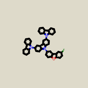 Fc1ccc2oc3ccc(-n4c5ccc(-n6c7ccccc7c7ccccc76)cc5c5cc(-n6c7ccccc7c7ccccc76)ccc54)cc3c2c1